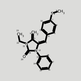 C=c1/c(=C\c2ccc(SC)cc2)n(-c2ccccc2)c(=O)n1CC